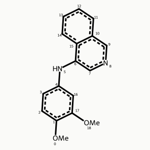 COc1ccc(Nc2cncc3ccccc23)cc1OC